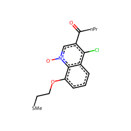 CCCC(=O)c1c[n+]([O-])c2c(OCCSC)cccc2c1Cl